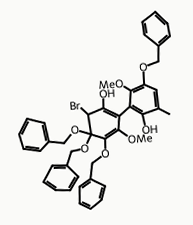 COC1=C(OCc2ccccc2)C(OCc2ccccc2)(OCc2ccccc2)C(Br)C(O)=C1c1c(O)c(C)cc(OCc2ccccc2)c1OC